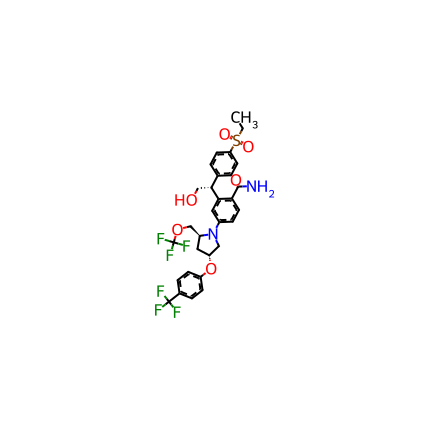 CCS(=O)(=O)c1ccc([C@@H](CO)c2cc(N3C[C@H](Oc4ccc(C(F)(F)F)cc4)C[C@H]3COC(F)(F)F)ccc2C(N)=O)cc1